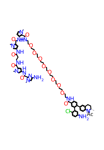 CC(=O)N1c2ccc(-c3ccc(C(=O)NCCOCCOCCOCCOCCOCCOCCOCCOCCNC(=O)c4c(NC(=O)c5cc(NC(=O)CCNC(=O)c6cc(NC(=O)c7nc(N)cn7C)cn6C)cn5C)ccn4C)cc3-c3cc(N)ccc3Cl)cc2CC[C@@H]1C